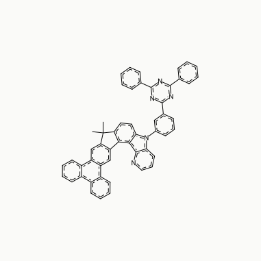 CC1(C)c2cc3c4ccccc4c4ccccc4c3cc2-c2c1ccc1c2c2ncccc2n1-c1cccc(-c2nc(-c3ccccc3)nc(-c3ccccc3)n2)c1